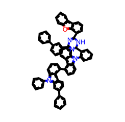 c1ccc(-c2cccc(C3=NC(c4ccccc4-n4c5ccccc5c5c(-c6cccc7c6c6ccc(-c8ccccc8)cc6n7-c6ccccc6)cccc54)NC(c4cccc5c4oc4ccccc45)=N3)c2)cc1